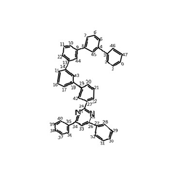 c1ccc(-c2cccc(-c3cccc(-c4cccc(-c5cccc(-c6nc(-c7ccccc7)cc(-c7ccccc7)n6)c5)c4)c3)c2)cc1